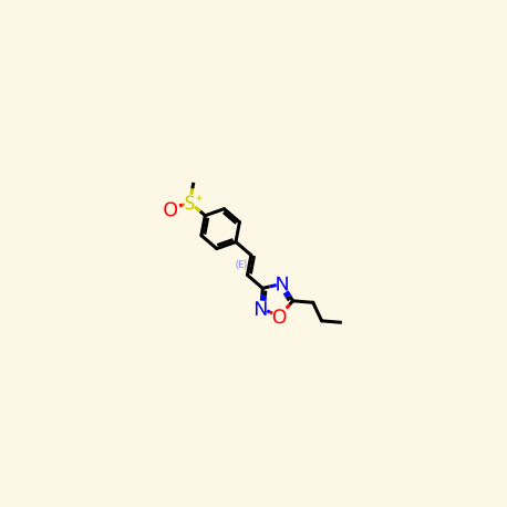 CCCc1nc(/C=C/c2ccc([S+](C)[O-])cc2)no1